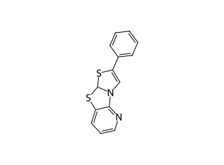 C1=C(c2ccccc2)SC2Sc3cccnc3N12